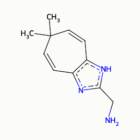 CC1(C)C=Cc2nc(CN)[nH]c2C=C1